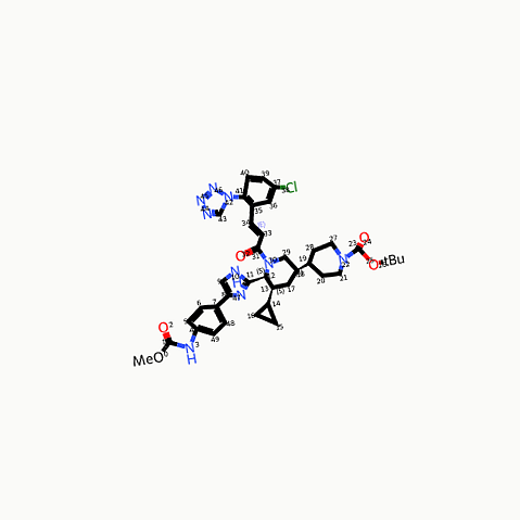 COC(=O)Nc1ccc(-c2c[nH]c([C@@H]3[C@H](C4CC4)C[C@H](C4CCN(C(=O)OC(C)(C)C)CC4)CN3C(=O)/C=C/c3cc(Cl)ccc3-n3cnnn3)n2)cc1